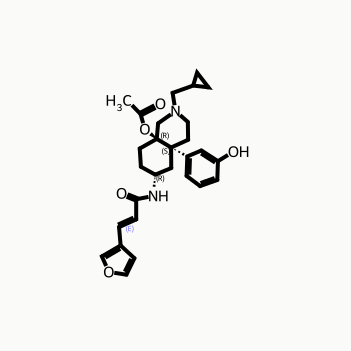 CC(=O)O[C@]12CC[C@@H](NC(=O)/C=C/c3ccoc3)C[C@]1(c1cccc(O)c1)CCN(CC1CC1)C2